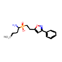 NC(CCC(=O)O)P(=O)(O)CCc1cc(-c2ccccc2)no1